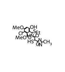 CCSC(NC(=O)C(S)c1nc(C)no1)c1c(O)cc(OC)c(Cl)c1C(=O)OC